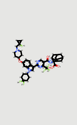 O=C(NC1(C(=O)O)C2CC3CC(C2)CC1C3)c1cnc(-c2cn(C3CCC(F)(F)CC3)c3cc(OC4CCN(CC5(F)CC5)CC4)ccc23)nc1C(F)(F)F